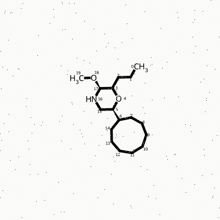 CCCC1O[C@@H](C2CCCCCCCC2)CN[C@H]1OC